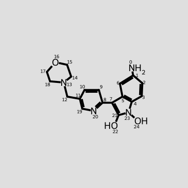 Nc1ccc2c(c1)c(-c1ccc(CN3CCOCC3)cn1)c(O)n2O